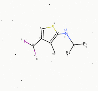 CCC(CC)Nc1scc(C(I)I)c1C